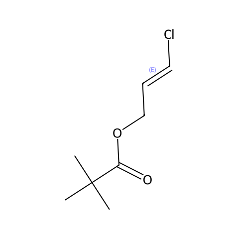 CC(C)(C)C(=O)OC/C=C/Cl